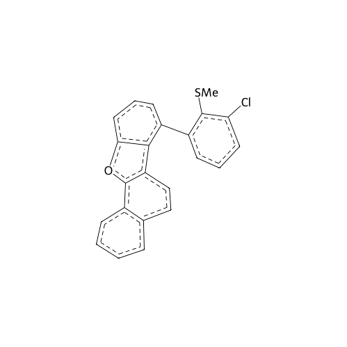 CSc1c(Cl)cccc1-c1cccc2oc3c4ccccc4ccc3c12